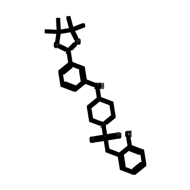 CC1(C)OB(c2cccc(NC3CCN(S(=O)(=O)Cc4ccccc4Cl)CC3)c2)OC1(C)C